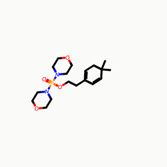 CC1(C)C=CC(CCOP(=O)(N2CCOCC2)N2CCOCC2)=CC1